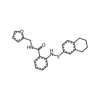 O=C(NCc1ccco1)c1ccccc1NSc1ccc2c(c1)CCCC2